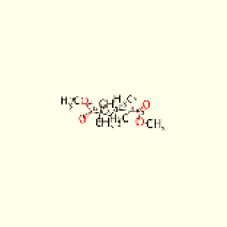 COC(=O)C(C)(C)CCC(C)(C)C(=O)OC